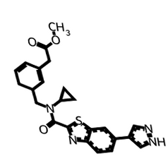 COC(=O)CC1=CC(CN(C(=O)c2nc3ccc(-c4cn[nH]c4)cc3s2)C2CC2)CC=C1